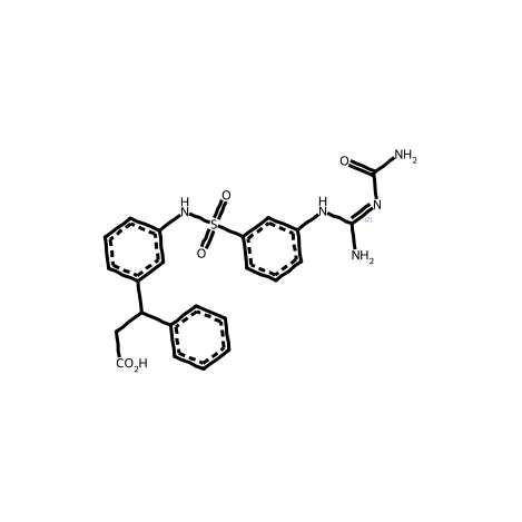 NC(=O)/N=C(/N)Nc1cccc(S(=O)(=O)Nc2cccc(C(CC(=O)O)c3ccccc3)c2)c1